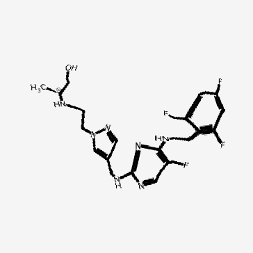 C[C@@H](CO)NCCn1cc(Nc2ncc(F)c(NCc3c(F)cc(F)cc3F)n2)cn1